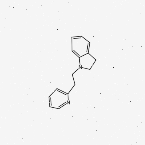 c1ccc(CCN2CCc3ccccc32)nc1